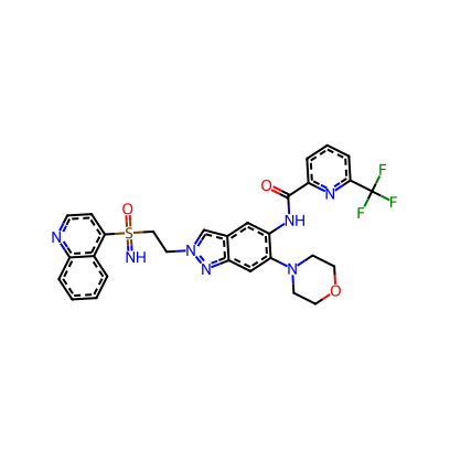 N=S(=O)(CCn1cc2cc(NC(=O)c3cccc(C(F)(F)F)n3)c(N3CCOCC3)cc2n1)c1ccnc2ccccc12